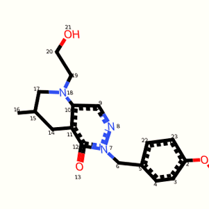 COc1ccc(Cn2ncc3c(c2=O)CC(C)CN3CCO)cc1